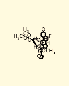 CC(C)OC(=O)OCC#CCSC(=O)[C@@]1(OC(=O)c2ccco2)[C@H](C)C[C@H]2[C@@H]3C[C@H](F)C4=CC(=O)C=C[C@]4(C)[C@@]3(F)[C@@H](O)C[C@@]21C